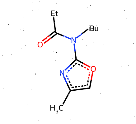 CCC(=O)N(c1nc(C)co1)C(C)CC